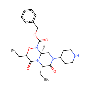 CC(C)C[C@H]1ON(C(=O)OCc2ccccc2)[C@H]2CN(C3CCNCC3)C(=O)[C@H](CC(C)(C)C)N2C1=O